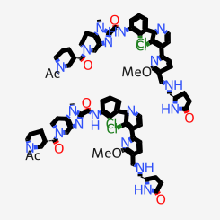 COc1nc(-c2ccnc(-c3cccc(NC(=O)c4nc5c(n4C)CCN(C(=O)[C@H]4CCCN(C(C)=O)C4)C5)c3Cl)c2Cl)ccc1CNC[C@@H]1CCC(=O)N1.COc1nc(-c2ccnc(-c3cccc(NC(=O)c4nc5c(n4C)CCN(C(=O)[C@H]4CCCN(C(C)=O)C4)C5)c3Cl)c2Cl)ccc1CNC[C@@H]1CCC(=O)N1